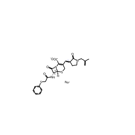 C=C(C)CN1CC/C(=C\C2=C(C(=O)[O-])N3C(=O)[C@@H](NC(=O)CSc4ccccc4)[C@H]3SC2)C1=O.[Na+]